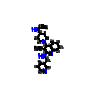 CC(C)(C)NC1CCN(c2c(C#N)c(NCc3cccnc3)nc3ccccc23)CC1